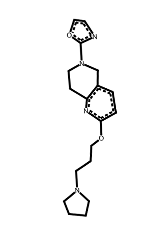 c1coc(N2CCc3nc(OCCCN4CCCC4)ccc3C2)n1